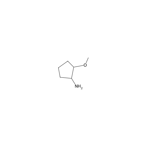 COC1CCCC1N